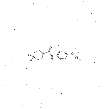 O=C(Nc1ccc(OC(F)(F)F)cc1)N1CCC(F)(F)CC1